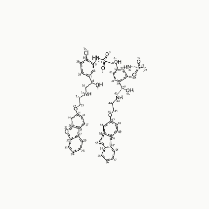 CS(=O)(=O)Nc1cc(C(O)CNCCOc2ccc3c(c2)oc2ccccc23)ccc1Cl.CS(=O)(=O)Nc1cc(C(O)CNCCOc2ccc3c(c2)sc2ccccc23)ccc1O